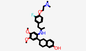 COc1cc(NC(C)Cc2ccc(OCCN(C)C)c(F)c2)c(C2CCc3cc(O)ccc3C2)cc1OC